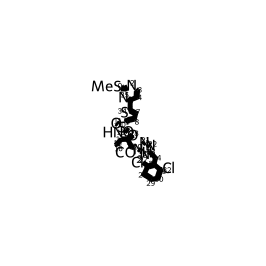 CSc1nccc(-c2ccc(S(=O)(=O)NC(CC(=O)O)C(=O)Cn3nnc(Cc4c(Cl)cccc4Cl)n3)s2)n1